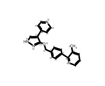 Cc1cccnc1-c1ccc(COc2n[nH]cc2-c2ccncc2)cc1